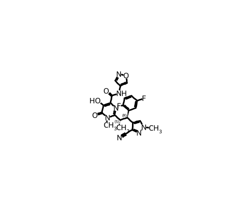 C[C@H](c1nc(C(=O)Nc2cnoc2)c(O)c(=O)n1C)[C@@H](c1cc(F)ccc1F)c1cn(C)nc1C#N